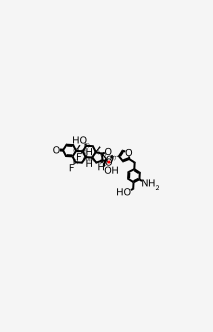 C[C@]12C=CC(=O)C=C1[C@@H](F)C[C@H]1[C@@H]3C[C@H]4O[C@@H](c5coc(Cc6ccc(CO)c(N)c6)c5)O[C@@]4(C(=O)CO)[C@@]3(C)C[C@H](O)[C@@]12F